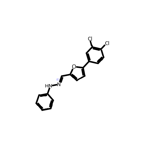 Clc1ccc(-c2ccc(/C=N/Nc3ccccc3)o2)cc1Cl